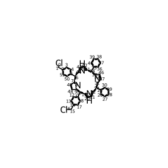 ClCc1ccc(-c2c3nc(c(-c4ccc(CCl)cc4)c4ccc([nH]4)c(-c4ccccc4)c4nc(c(-c5ccccc5)c5ccc2[nH]5)C=C4)C=C3)cc1